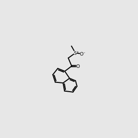 C[S+]([O-])CC(=O)c1cccc2ccccc12